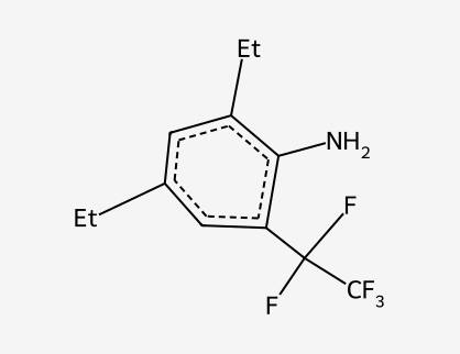 CCc1cc(CC)c(N)c(C(F)(F)C(F)(F)F)c1